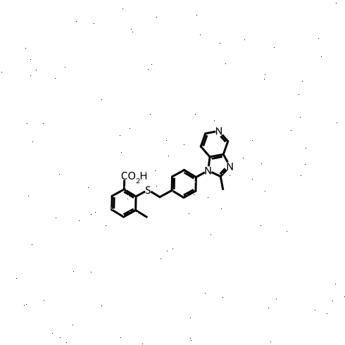 Cc1cccc(C(=O)O)c1SCc1ccc(-n2c(C)nc3cnccc32)cc1